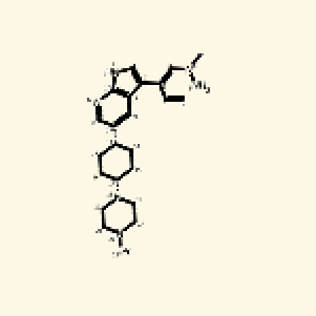 C=C/C(=C\N(C)N)c1c[nH]c2ncc([C@H]3CC[C@@H](N4CCN(C(C)C)CC4)CC3)cc12